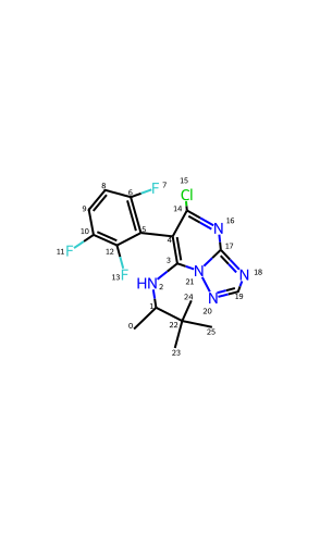 CC(Nc1c(-c2c(F)ccc(F)c2F)c(Cl)nc2ncnn12)C(C)(C)C